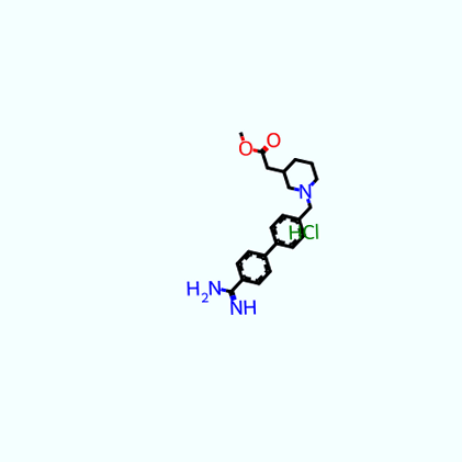 COC(=O)CC1CCCN(Cc2ccc(-c3ccc(C(=N)N)cc3)cc2)C1.Cl